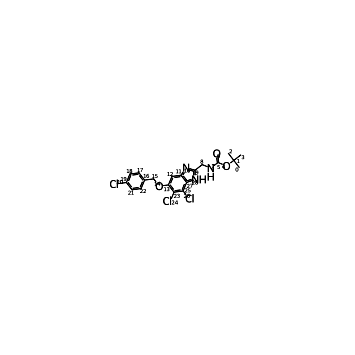 CC(C)(C)OC(=O)NCc1nc2cc(OCc3ccc(Cl)cc3)c(Cl)c(Cl)c2[nH]1